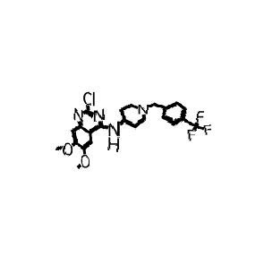 COc1cc2nc(Cl)nc(NC3CCN(Cc4ccc(C(F)(F)F)cc4)CC3)c2cc1OC